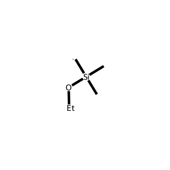 [CH2][Si](C)(C)OCC